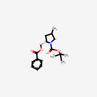 CC1C[C@@H](COC(=O)c2ccccc2)N(C(=O)OC(C)(C)C)C1